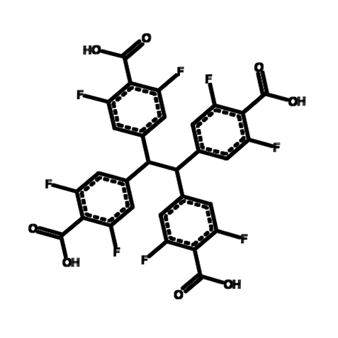 O=C(O)c1c(F)cc(C(c2cc(F)c(C(=O)O)c(F)c2)C(c2cc(F)c(C(=O)O)c(F)c2)c2cc(F)c(C(=O)O)c(F)c2)cc1F